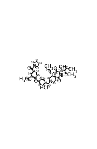 CCCCN1C(=O)[C@@H]([C@H](O)C(CC)CC)NC(=O)C12CCN(Cc1ccc(Oc3ccc(C(=O)N4CCCC4)cc3OC)cc1)CC2.Cl